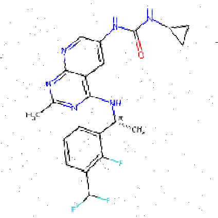 Cc1nc(N[C@H](C)c2cccc(C(F)F)c2F)c2cc(NC(=O)NC3CC3)cnc2n1